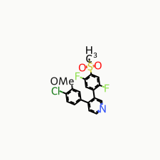 COc1cc(-c2ccncc2-c2cc(F)c(S(C)(=O)=O)cc2F)ccc1Cl